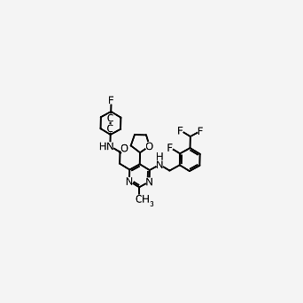 Cc1nc(CC(=O)NC23CCC(F)(CC2)CC3)c(C2CCCO2)c(NCc2cccc(C(F)F)c2F)n1